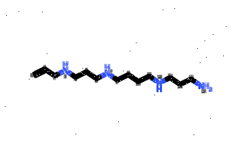 C=CCNCCCNCCCCNCCCN